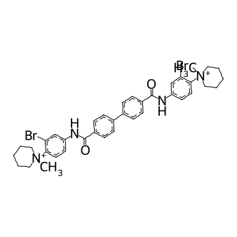 C[N+]1(c2ccc(NC(=O)c3ccc(-c4ccc(C(=O)Nc5ccc([N+]6(C)CCCCC6)c(Br)c5)cc4)cc3)cc2Br)CCCCC1